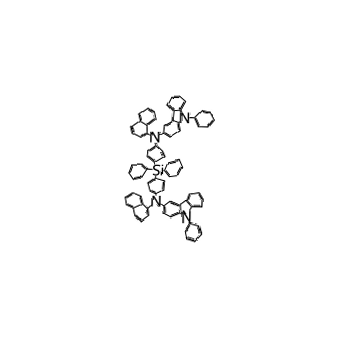 c1ccc(-n2c3ccccc3c3cc(N(c4ccc([Si](c5ccccc5)(c5ccccc5)c5ccc(N(c6ccc7c(c6)c6ccccc6n7-c6ccccc6)c6cccc7ccccc67)cc5)cc4)c4cccc5ccccc45)ccc32)cc1